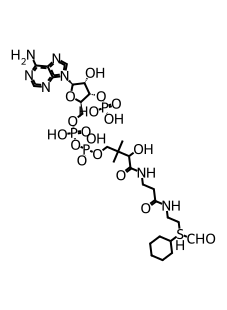 CC(C)(COP(=O)(O)OP(=O)(O)OC[C@H]1O[C@@H](n2cnc3c(N)ncnc32)[C@H](O)[C@@H]1OP(=O)(O)O)C(O)C(=O)NCCC(=O)NCC[SH](C=O)C1CCCCC1